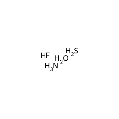 F.N.O.S